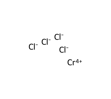 [Cl-].[Cl-].[Cl-].[Cl-].[Cr+4]